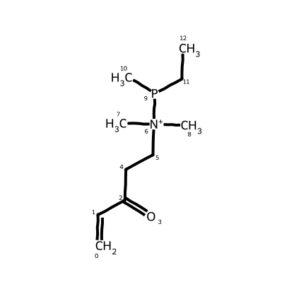 C=CC(=O)CC[N+](C)(C)P(C)CC